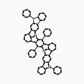 c1ccc(-c2c3c4cccc5c6cc7c(cc6n(c3c(-c3ccccc3)c3c6cccc8c9cc%10c(cc9n(c23)c86)-c2ccccc2C%10c2ccccc2)c54)c2ccccc2n7-c2ccccc2)cc1